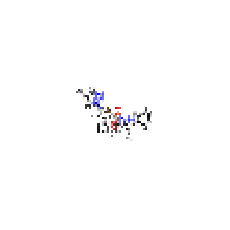 CC1[C@H](c2ccccc2)[C@]1(NS(=O)(=O)C1CC=C(n2cc(I)cn2)S1)C(=O)O